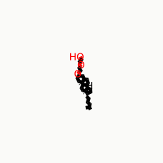 CC(C)CCCC[C@H]1CCC2[C@@H]3CC=C4C[C@@H](OCCOCCO)CC[C@]4(C)C3CC[C@@]21C